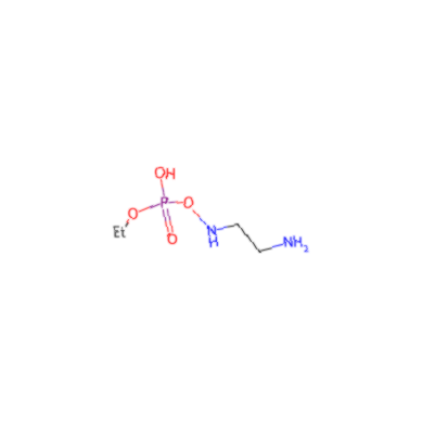 CCOP(=O)(O)ONCCN